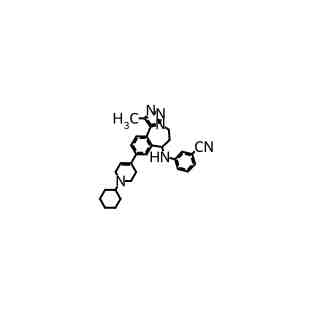 Cc1nnn2c1-c1ccc(C3=CCN(C4CCCCC4)CC3)cc1C(Nc1cccc(C#N)c1)CC2